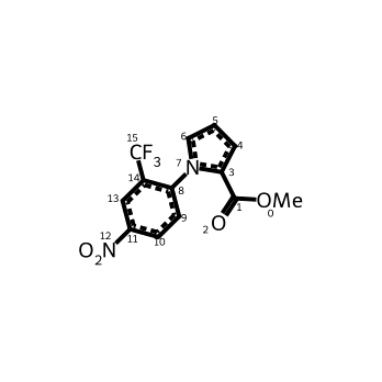 COC(=O)c1cccn1-c1ccc([N+](=O)[O-])cc1C(F)(F)F